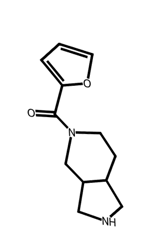 O=C(c1ccco1)N1CCC2CNCC2C1